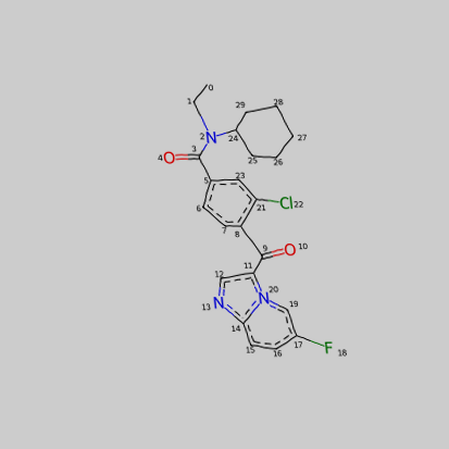 CCN(C(=O)c1ccc(C(=O)c2cnc3ccc(F)cn23)c(Cl)c1)C1CCCCC1